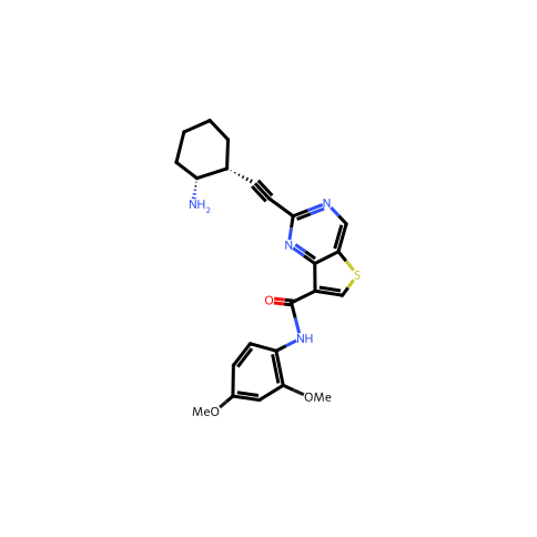 COc1ccc(NC(=O)c2csc3cnc(C#C[C@H]4CCCC[C@H]4N)nc23)c(OC)c1